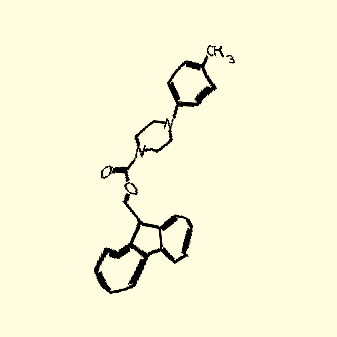 Cc1ccc(N2CCN(C(=O)OCC3c4ccccc4-c4ccccc43)CC2)cc1